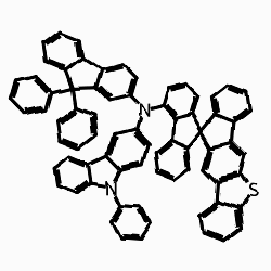 c1ccc(-n2c3ccccc3c3cc(N(c4ccc5c(c4)C(c4ccccc4)(c4ccccc4)c4ccccc4-5)c4cccc5c4-c4ccccc4C54c5ccccc5-c5cc6sc7ccccc7c6cc54)ccc32)cc1